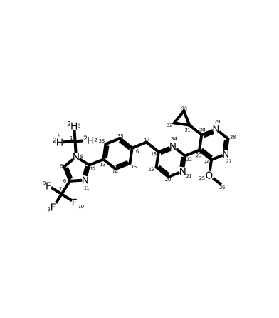 [2H]C([2H])([2H])n1cc(C(F)(F)F)nc1-c1ccc(Cc2ccnc(-c3c(OC)ncnc3C3CC3)n2)cc1